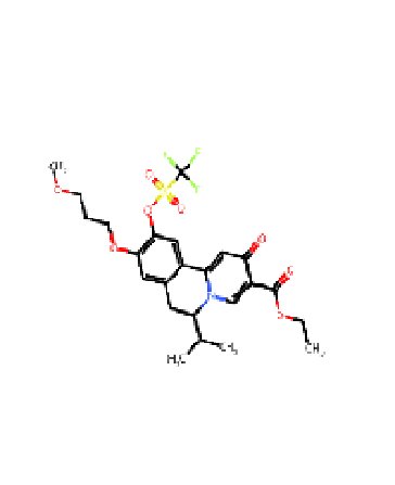 CCOC(=O)c1cn2c(cc1=O)-c1cc(OS(=O)(=O)C(F)(F)F)c(OCCCOC)cc1CC2C(C)C